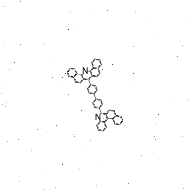 c1ccc2c(c1)ccc1c(-c3ccc(-c4ccc(-c5nc6ccccc6c6c5ccc5ccccc56)cc4)cc3)c3ccc4ccccc4c3nc12